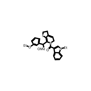 CCOc1cccc(C(OC)C2=C3SCCC3=CCN2C(=O)c2cn(CC)c3ccccc23)c1